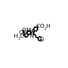 COC(=O)N1c2ccc3c(nc(CCC4CCOCC4)n3C3CCC(C(=O)O)CC3)c2CC[C@@H]1C